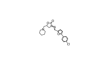 O=C1OC(CN2CCCCC2)CN1N=Cc1ccc(-c2ccc(Cl)cc2)o1